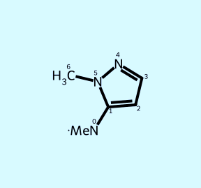 C[N]c1ccnn1C